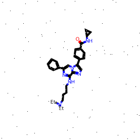 CCN(CC)CCCCNc1nc(-c2ccccc2)cn2c(-c3ccc(C(=O)NC4CC4)cc3)cnc12